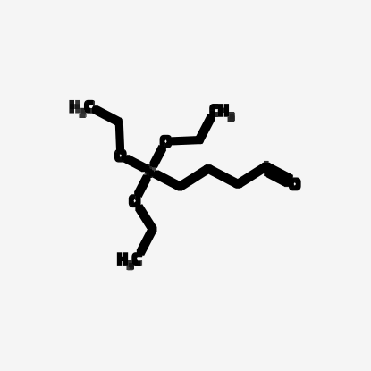 CCO[Si](CCC[C]=O)(OCC)OCC